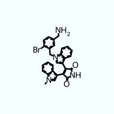 Cn1cc(C2=C(c3cn(Cc4cc(CN)ccc4Br)c4ccccc34)C(=O)NC2=O)c2ccccc21